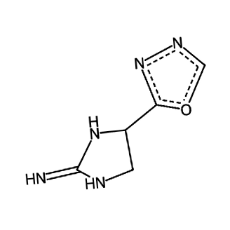 N=C1NCC(c2nnco2)N1